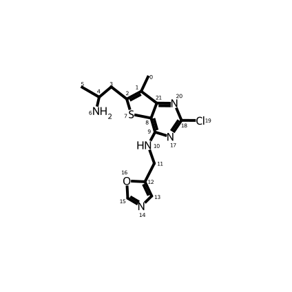 Cc1c(CC(C)N)sc2c(NCc3cnco3)nc(Cl)nc12